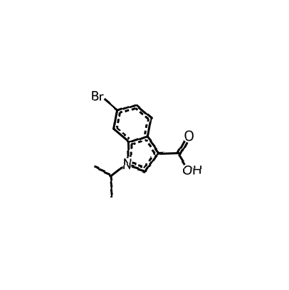 CC(C)n1cc(C(=O)O)c2ccc(Br)cc21